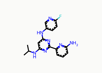 CC(C)Nc1cc(Nc2ccc(F)nc2)nc(-c2cccc(N)n2)n1